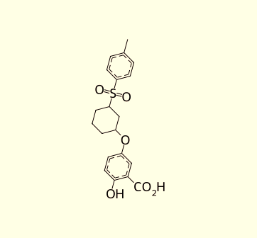 Cc1ccc(S(=O)(=O)C2CCCC(Oc3ccc(O)c(C(=O)O)c3)C2)cc1